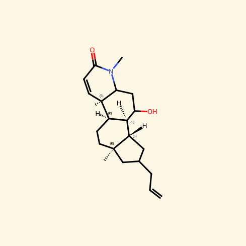 C=CCC1C[C@H]2[C@@H]3C(O)CC4N(C)C(=O)C=C[C@]4(C)[C@@H]3CC[C@]2(C)C1